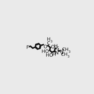 C[C@H](OCc1ccc(CCF)cc1)[C@H]1O[C@@H]2SC(N(C)C)=N[C@@H]2[C@@H](O)[C@@H]1O